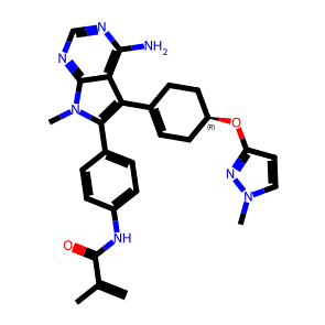 C=C(C)C(=O)Nc1ccc(-c2c(C3=CC[C@H](Oc4ccn(C)n4)CC3)c3c(N)ncnc3n2C)cc1